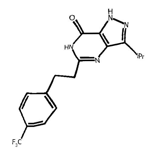 CC(C)c1n[nH]c2c(=O)[nH]c(CCc3ccc(C(F)(F)F)cc3)nc12